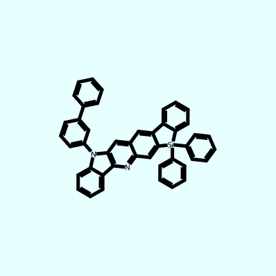 c1ccc(-c2cccc(-n3c4ccccc4c4nc5cc6c(cc5cc43)-c3ccccc3[Si]6(c3ccccc3)c3ccccc3)c2)cc1